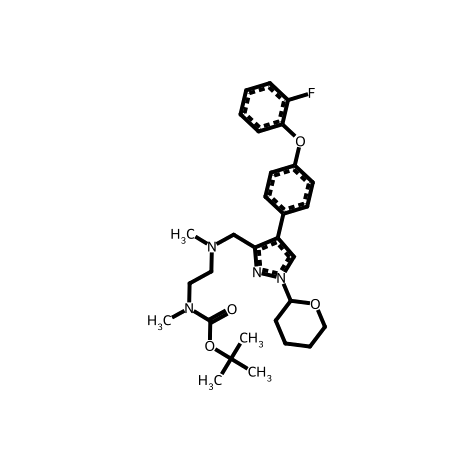 CN(CCN(C)C(=O)OC(C)(C)C)Cc1nn(C2CCCCO2)cc1-c1ccc(Oc2ccccc2F)cc1